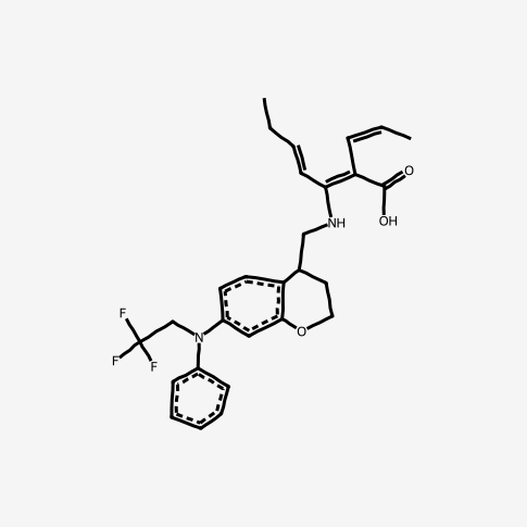 C\C=C/C(C(=O)O)=C(\C=C\CC)NCC1CCOc2cc(N(CC(F)(F)F)c3ccccc3)ccc21